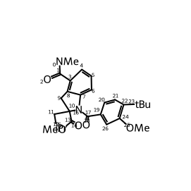 CNC(=O)c1cccc2c1CC(CC(C)C)(C(=O)OC)N2C(=O)c1ccc(C(C)(C)C)c(OC)c1